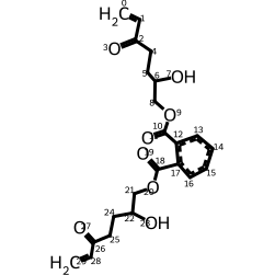 C=CC(=O)CCC(O)COC(=O)c1ccccc1C(=O)OCC(O)CCC(=O)C=C